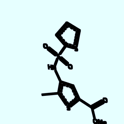 COC(=O)c1cc(NS(=O)(=O)c2cccs2)c(C)s1